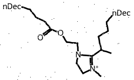 CCCCCCCCCCCCCC(=O)OCCN1CC[N+](C)=C1C(C)CCCCCCCCCCCCC